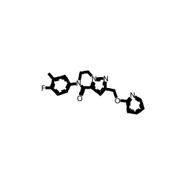 Cc1cc(N2CCn3nc(COc4ccccn4)cc3C2=O)ccc1F